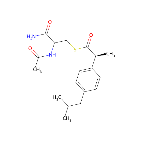 CC(=O)NC(CSC(=O)[C@@H](C)c1ccc(CC(C)C)cc1)C(N)=O